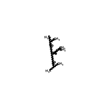 CCCCCC(CCCCC)CCOC(=O)CCCCCCCC(CCCCCCCC(=O)OCCC(CCCCC)CCCCC)COC(=O)CCOCCN(C)C